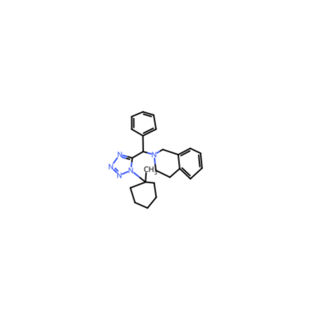 CC1(n2nnnc2C(c2ccccc2)N2CCc3ccccc3C2)CCCCC1